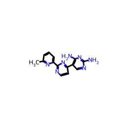 Cc1cccc(-c2nccc(-c3cnc(N)nc3N)n2)n1